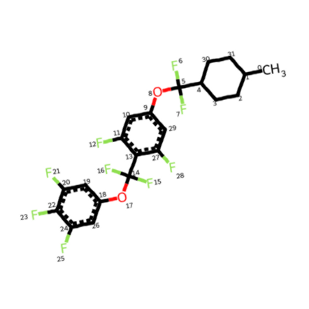 CC1CCC(C(F)(F)Oc2cc(F)c(C(F)(F)Oc3cc(F)c(F)c(F)c3)c(F)c2)CC1